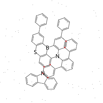 c1ccc(-c2ccc3c(c2)B2c4cc(-c5ccccc5)ccc4N(c4c(-c5ccccc5)cccc4-c4ccccc4)c4cc(-n5c6ccccc6c6ccccc65)cc(c42)S3)cc1